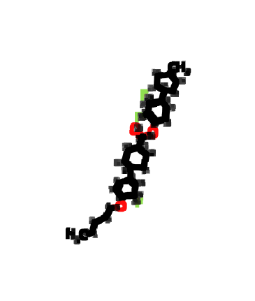 CCCCCOc1ccc(C2CCC(C(=O)Oc3ccc(C4CCC(C)CC4)c(F)c3F)CC2)cc1F